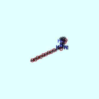 CCN(CC)c1ccc(NC(=O)c2cccc(CCCOCCOCCOCCOCCOCCOCCOCCOCCOC)c2)c(-c2cc(C(=O)N[C@@]3(C=O)C=CCc4ccccc43)ccn2)c1